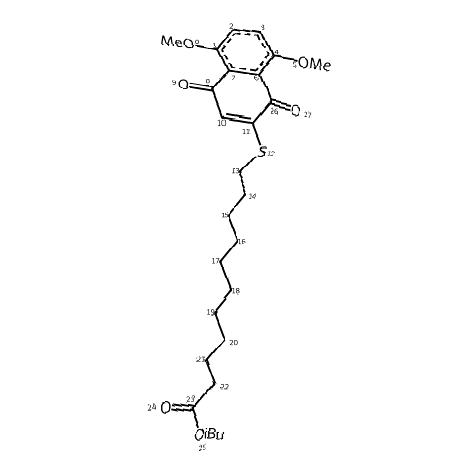 COc1ccc(OC)c2c1C(=O)C=C(SCCCCCCCCCCC(=O)OCC(C)C)C2=O